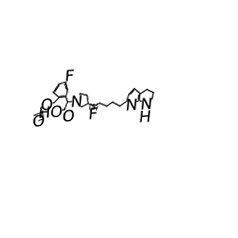 O=C(O)C(c1cc(F)ccc1COC1COC1)N1CCC([C@@H](F)CCCCc2ccc3c(n2)NCCC3)C1